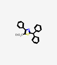 CCOC(=O)c1sc(C(c2ccccc2)c2ccccc2)nc1-c1ccccc1